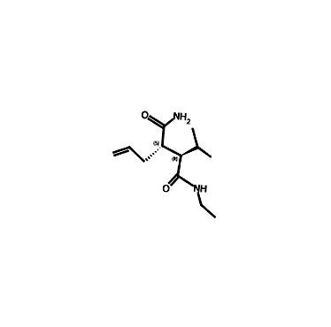 C=CC[C@H](C(N)=O)[C@H](C(=O)NCC)C(C)C